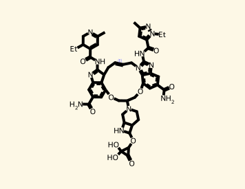 CCC1CN=C(C)C=C1C(=O)NC1=Nc2cc(C(N)=O)cc3c2C1C/C=C/Cn1c(NC(=O)c2cc(C)nn2CC)nc2cc(C(N)=O)cc(c21)OCC(N1CCC2C(C1)NC2OC1C(=O)C1(O)O)CO3